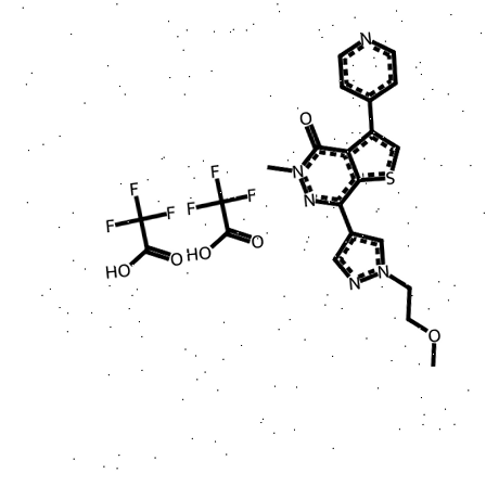 COCCn1cc(-c2nn(C)c(=O)c3c(-c4ccncc4)csc23)cn1.O=C(O)C(F)(F)F.O=C(O)C(F)(F)F